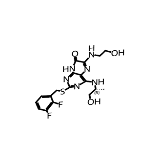 C[C@H](CO)Nc1nc(SCc2cccc(F)c2F)nc2[nH]c(=O)c(NCCO)nc12